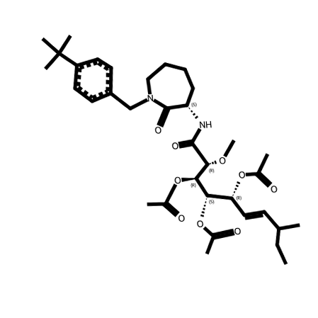 CCC(C)C=C[C@@H](OC(C)=O)[C@H](OC(C)=O)[C@@H](OC(C)=O)[C@@H](OC)C(=O)N[C@H]1CCCCN(Cc2ccc(C(C)(C)C)cc2)C1=O